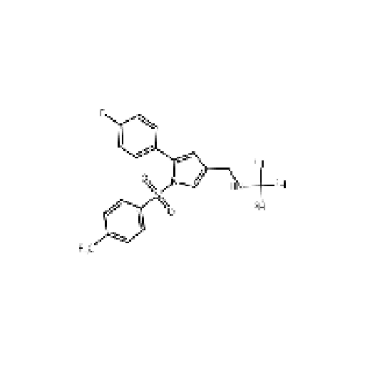 [2H]C([2H])([2H])NCc1cc(-c2ccc(F)cc2)n(S(=O)(=O)c2ccc(C(F)(F)F)cc2)c1